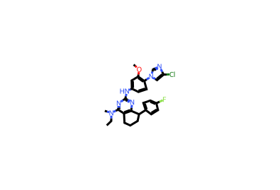 CCN(C)c1nc(Nc2ccc(-n3cnc(Cl)c3)c(OC)c2)nc2c1CCCC2c1ccc(F)cc1